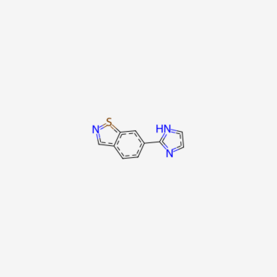 c1c[nH]c(-c2ccc3cnsc3c2)n1